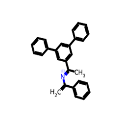 C=C(/N=C(\C)c1cc(-c2ccccc2)cc(-c2ccccc2)c1)c1ccccc1